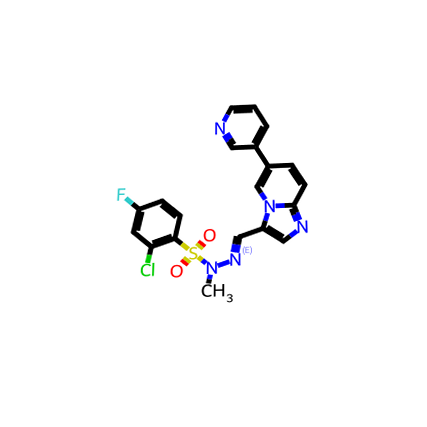 CN(/N=C/c1cnc2ccc(-c3cccnc3)cn12)S(=O)(=O)c1ccc(F)cc1Cl